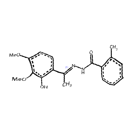 COc1ccc(/C(C)=N/NC(=O)c2ccccc2C)c(O)c1OC